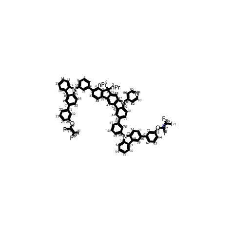 CCCC1(CCC)c2cc(-c3cccc(-n4c5ccccc5c5cc(-c6cccc(OC(F)=C(F)F)c6)ccc54)c3)ccc2-c2cc3c4cc(-c5cccc(-n6c7ccccc7c7cc(-c8cccc(O/C(F)=C(\F)I)c8)ccc76)c5)ccc4n(-c4ccncc4)c3cc21